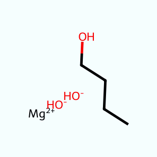 CCCCO.[Mg+2].[OH-].[OH-]